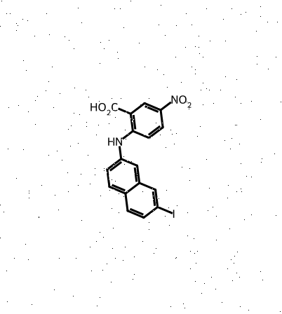 O=C(O)c1cc([N+](=O)[O-])ccc1Nc1ccc2ccc(I)cc2c1